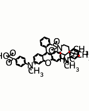 CN(c1ccccc1)c1ccc2c(-c3ccccc3S(=O)(=O)N3CCC(C(C)(C)C)CC3)c3cc/c(=[N+](/C)c4ccc(S(=O)(=O)O)cc4)cc-3oc2c1